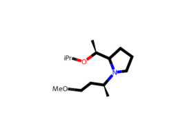 COCC[C@H](C)N1CCCC1[C@H](C)OC(C)C